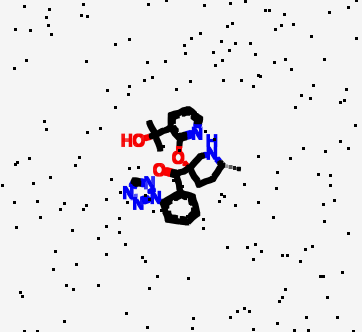 C[C@@H]1CC[C@](Oc2ncccc2C(C)(C)O)(C(=O)c2ccccc2-n2ncnn2)CN1